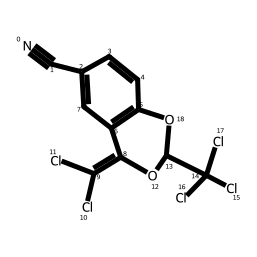 N#Cc1ccc2c(c1)C(=C(Cl)Cl)OC(C(Cl)(Cl)Cl)O2